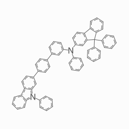 c1ccc(N(c2cccc(-c3ccc(-c4ccc5c6ccccc6n(-c6ccccc6)c5c4)cc3)c2)c2ccc3c(c2)C(c2ccccc2)(c2ccccc2)c2ccccc2-3)cc1